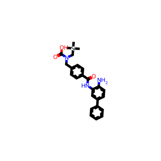 C[Si](C)(C)CN(Cc1ccc(C(=O)Nc2cc(-c3ccccc3)ccc2N)cc1)C(=O)O